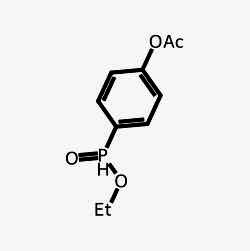 CCO[PH](=O)c1ccc(OC(C)=O)cc1